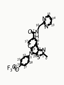 Cc1nc2c3cc(C(=O)NCc4ncccn4)ccc3n(-c3ccc(OC(F)(F)F)cc3)c2s1